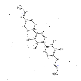 C/C=C/Oc1ccc(-c2ccc(C3CCC(/C=C/C)CC3)c(F)c2F)c(F)c1F